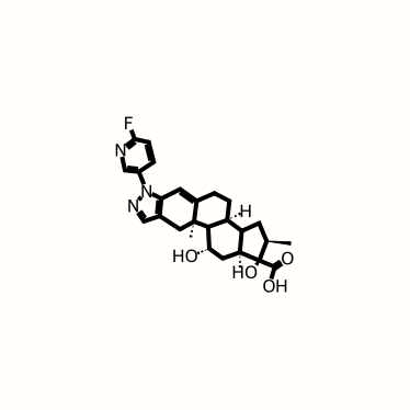 C[C@@H]1CC2[C@@H]3CCC4=Cc5c(cnn5-c5ccc(F)nc5)C[C@]4(C)C3[C@@H](O)C[C@]2(C)[C@@]1(O)C(=O)O